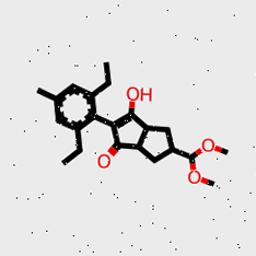 CCc1cc(C)cc(CC)c1C1=C(O)C2CC(C(OC)OC)CC2C1=O